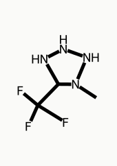 CN1NNNC1C(F)(F)F